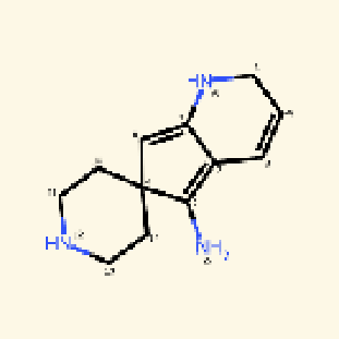 NC1=C2C=CCNC2=CC12CCNCC2